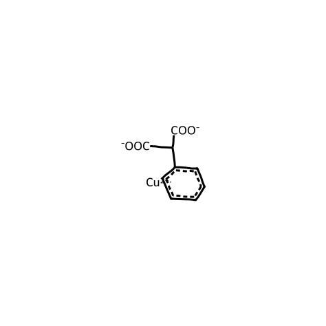 O=C([O-])C(C(=O)[O-])c1ccccc1.[Cu+2]